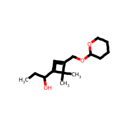 CCC(O)C1=C=C(COC2CCCCO2)C1(C)C